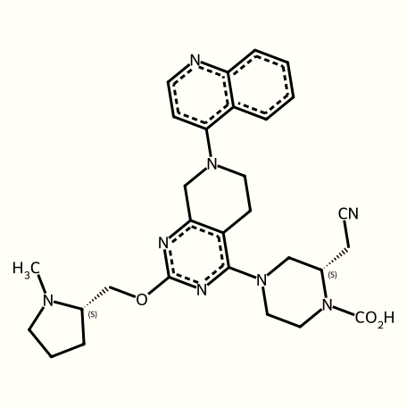 CN1CCC[C@H]1COc1nc2c(c(N3CCN(C(=O)O)[C@@H](CC#N)C3)n1)CCN(c1ccnc3ccccc13)C2